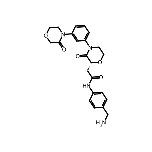 NCc1ccc(NC(=O)C[C@H]2OCCN(c3cccc(N4CCOCC4=O)c3)C2=O)cc1